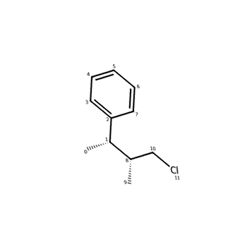 C[C@H](c1ccccc1)[C@@H](C)CCl